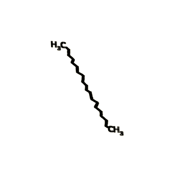 CC=CC=CC=CC=CC=CC=CC=CC=CC=CC